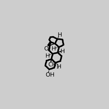 C[C@]12CC[C@@H](O)C[C@@H]1CC[C@@H]1[C@@H]2CC[C@@]23C(=O)CCC[C@H]2CC[C@@H]13